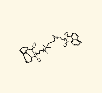 CN(CCN1C(=O)c2cccc3cccc(c23)C1=O)CCC(C)(C)N(C)CCN1C(=O)c2cccc3cccc(c23)C1=O